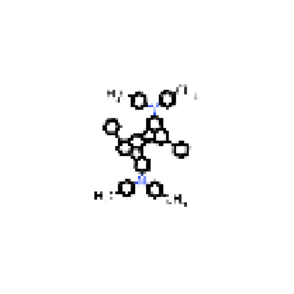 Cc1ccc(N(c2ccc(C)cc2)c2ccc3c(c2)c2ccc(-c4ccccc4)c4cc5c6cc(N(c7ccc(C)cc7)c7ccc(C)cc7)cc7cc(-c8ccccc8)cc(c76)c5c3c42)cc1